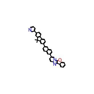 CC1(C)c2cc(-c3cccnc3)ccc2-c2ccc(-c3ccc4cc(-c5ccc6nc7c8ccccc8oc7n6c5)ccc4c3)cc21